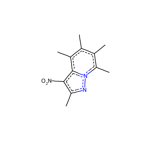 Cc1nn2c(C)c(C)c(C)c(C)c2c1[N+](=O)[O-]